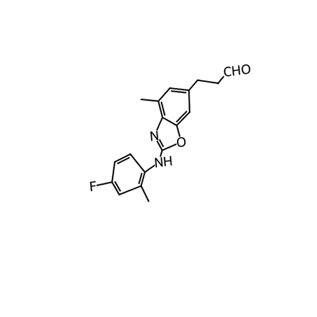 Cc1cc(F)ccc1Nc1nc2c(C)cc(CCC=O)cc2o1